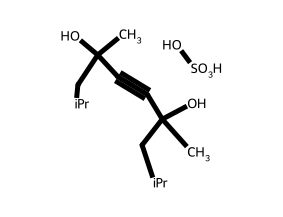 CC(C)CC(C)(O)C#CC(C)(O)CC(C)C.O=S(=O)(O)O